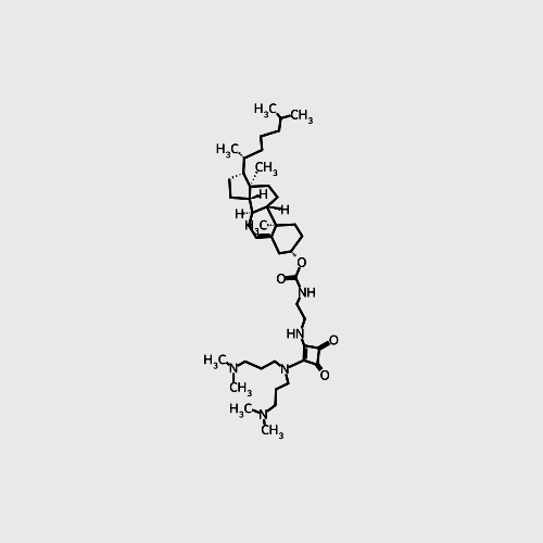 CC(C)CCC[C@@H](C)[C@H]1CC[C@H]2[C@@H]3CC=C4C[C@@H](OC(=O)NCCNc5c(N(CCCN(C)C)CCCN(C)C)c(=O)c5=O)CC[C@]4(C)[C@H]3CC[C@]12C